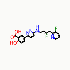 O=C(O)c1cc(-c2ccc(NCC[C@H](F)Cc3ncccc3F)nn2)ccc1O